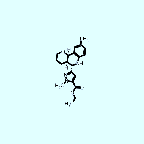 CCOC(=O)c1cc([C@H]2Nc3ccc(C)cc3[C@@H]3OCCC[C@H]23)nn1C